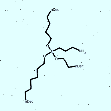 CCCCCCCCCCCCCCCCO[Si](CCCN)(OCCCCCCCCCCCC)OCCCCCCCCCCCCCC